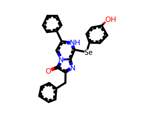 O=c1c(Cc2ccccc2)nc2c([Se]c3ccc(O)cc3)[nH]c(-c3ccccc3)cn1-2